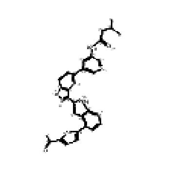 CC(=O)c1ccc(-c2ccnc3[nH]c(-c4n[nH]c5ccc(-c6cncc(NC(=O)CC(C)C)c6)nc45)cc23)s1